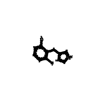 CCc1cccc(Cl)c1Cc1c[nH]cn1